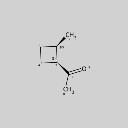 CC(=O)[C@H]1CC[C@H]1C